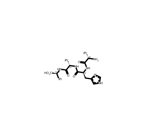 CC(C)[C@H](N)C(=O)N[C@@H](Cc1c[nH]cn1)C(=O)N[C@H](C(=O)N[C@H](C(=O)O)C(C)C)C(C)C